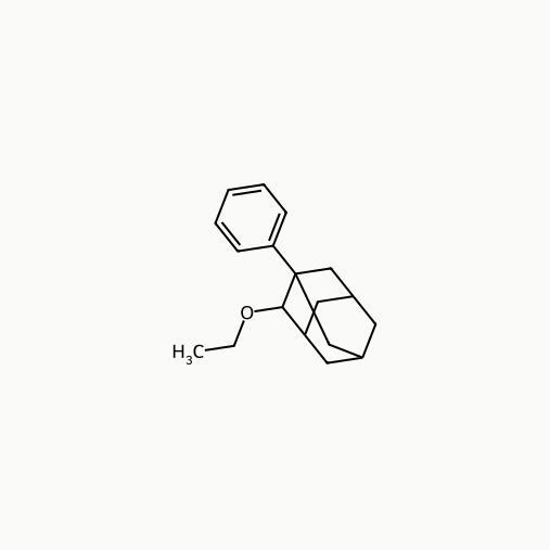 CCOC1C2CC3CC(C2)CC1(c1ccccc1)C3